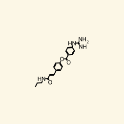 CCCNC(=O)C=Cc1ccc(OC(=O)c2ccc(NC(=N)N)cc2)cc1